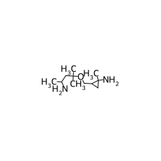 CC(N)CC(C)(C)OCC1CC1(C)N